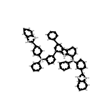 c1ccc(-c2cc(-c3cccc(N(c4ccccc4)c4ccc(-c5nc6ccccc6o5)cc4)c3)c3oc4c(N(c5ccccc5)c5cccc(-c6nc7ccccc7o6)c5)cccc4c3c2)cc1